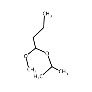 CCCC(OC)OC(C)C